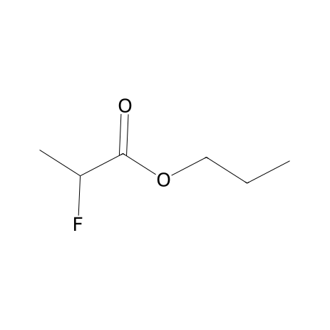 CCCOC(=O)C(C)F